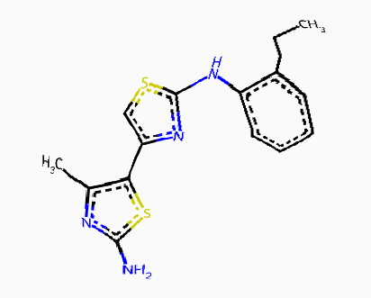 CCc1ccccc1Nc1nc(-c2sc(N)nc2C)cs1